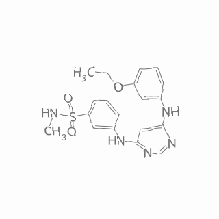 CCOc1cccc(Nc2cc(Nc3cccc(S(=O)(=O)NC)c3)ncn2)c1